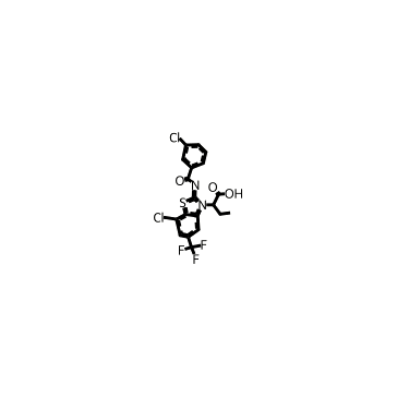 CCC(C(=O)O)n1/c(=N/C(=O)c2cccc(Cl)c2)sc2c(Cl)cc(C(F)(F)F)cc21